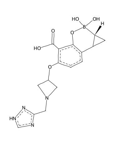 O=C(O)c1c(OC2CN(Cc3nc[nH]n3)C2)ccc2c1O[B-](O)(O)[C@@H]1CC21